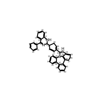 C1=CC(C2N=C(c3ccccc3)c3ccccc3N2)CC=C1C1NC2=CCCC3=C2N1c1ccccc1-c1ccccc13